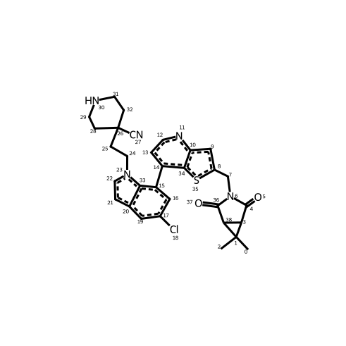 CC1(C)C2C(=O)N(Cc3cc4nccc(-c5cc(Cl)cc6ccn(CCC7(C#N)CCNCC7)c56)c4s3)C(=O)C21